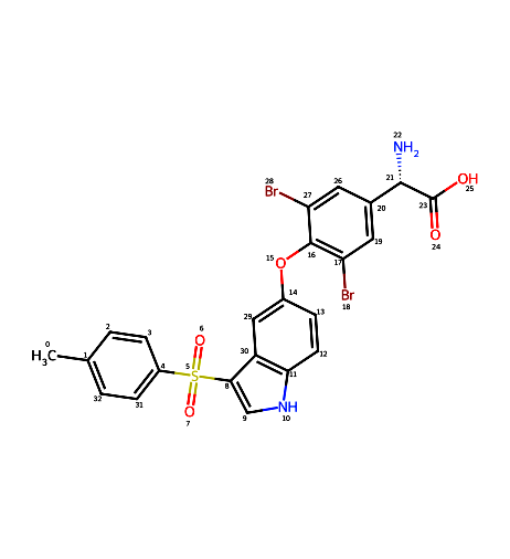 Cc1ccc(S(=O)(=O)c2c[nH]c3ccc(Oc4c(Br)cc([C@H](N)C(=O)O)cc4Br)cc23)cc1